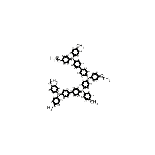 COc1ccc(N(c2ccc(C)cc2)c2ccc(-c3ccc(N(c4ccc(C)cc4)c4ccc(N(c5ccc(OC)cc5)c5ccc(-c6ccc(N(c7ccc(C)cc7)c7ccc(OC)cc7)cc6)cc5)cc4)cc3)cc2)cc1